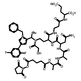 CC(NC(=O)CCCC(=O)ON1C(=O)CCC1=O)C(=O)NC(C)C(=O)NC(CC(N)=O)C(=O)NC(CCN(C(=O)CO)C(c1cc(-c2cc(F)ccc2F)cn1Cc1ccccc1)C(C)(C)C)C(=O)NCCC(=O)NC(CCC(=O)O)C(=O)O